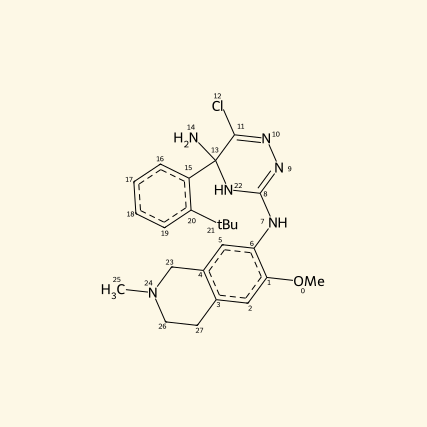 COc1cc2c(cc1NC1=NN=C(Cl)C(N)(c3ccccc3C(C)(C)C)N1)CN(C)CC2